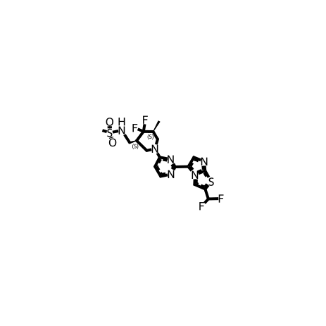 C[C@H]1CN(c2ccnc(-c3cnc4sc(C(F)F)cn34)n2)C[C@@H](CNS(C)(=O)=O)C1(F)F